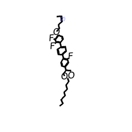 C/C=C\CCOc1ccc(-c2ccc(-c3ccc(C4COC(CCCCCCCC)OC4)cc3F)cc2)c(F)c1F